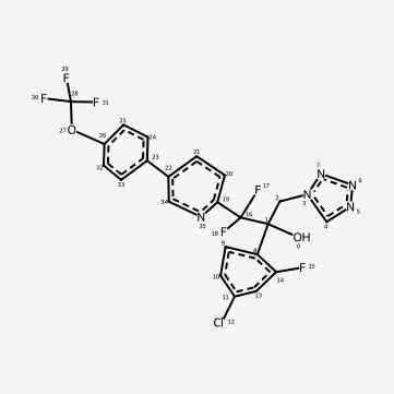 OC(Cn1cnnn1)(c1ccc(Cl)cc1F)C(F)(F)c1ccc(-c2ccc(OC(F)(F)F)cc2)cn1